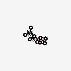 c1ccc(-c2nc(-c3ccccc3)nc(-c3ccc(-n4c5ccccc5c5c6c(ccc54)-c4ccccc4C64c5ccccc5-c5ccccc54)c4oc5ccccc5c34)n2)cc1